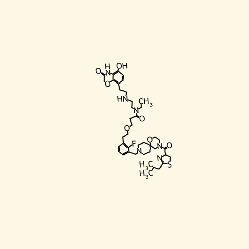 CCN(CCNCCc1ccc(O)c2c1OCC(=O)N2)C(=O)CCOCCc1cccc(CN2CCC3(CC2)CN(C(=O)C2CSC(CC(C)C)=N2)CCO3)c1F